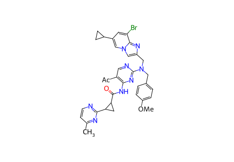 COc1ccc(CN(Cc2cn3cc(C4CC4)cc(Br)c3n2)c2ncc(C(C)=O)c(NC(=O)C3CC3c3nccc(C)n3)n2)cc1